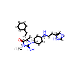 CN1C(=N)N[C@](CCC2CCCCC2)(C[C@H]2CCC[C@H](NCCc3cnc[nH]3)C2)C1=O